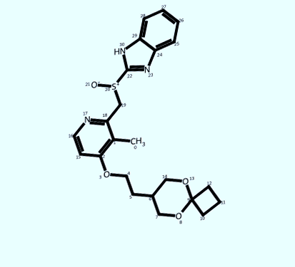 Cc1c(OCCC2COC3(CCC3)OC2)ccnc1C[S+]([O-])c1nc2ccccc2[nH]1